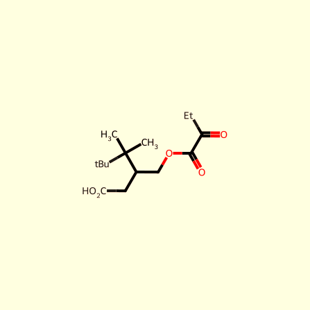 CCC(=O)C(=O)OCC(CC(=O)O)C(C)(C)C(C)(C)C